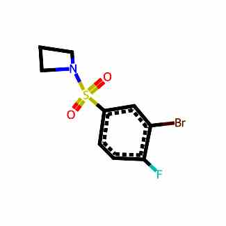 O=S(=O)(c1ccc(F)c(Br)c1)N1CCC1